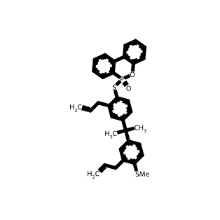 C=CCc1cc(C(C)(C)c2ccc(SP3(=O)Oc4ccccc4-c4ccccc43)c(CC=C)c2)ccc1SC